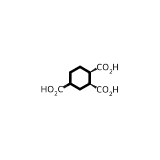 O=C(O)C1CC[C@@H](C(=O)O)[C@@H](C(=O)O)C1